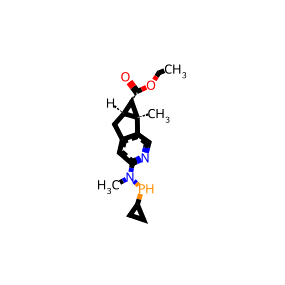 CCOC(=O)[C@H]1[C@@H]2Cc3cc(N(C)PC4CC4)ncc3[C@@]21C